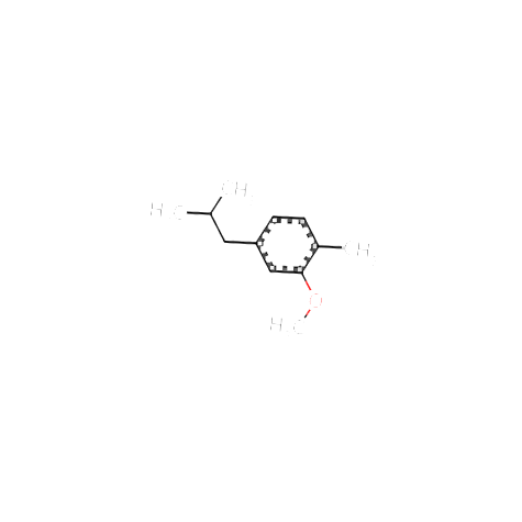 COc1cc(CC(C)C)ccc1C